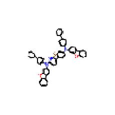 c1ccc(-c2ccc(N(c3ccc4c(c3)oc3ccccc34)c3ccc4c(c3)sc3nc(N(c5ccc(-c6ccccc6)cc5)c5ccc6c(c5)oc5ccccc56)ccc34)cc2)cc1